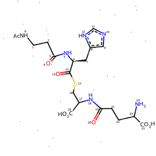 CC(=O)NCCC(=O)N[C@@H](Cc1cnc[nH]1)C(=O)SCC(NC(=O)CCC(N)C(=O)O)C(=O)O